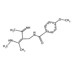 CN/C(C)=C(/CNC(=O)c1ccc(OC)cc1)C(C)=N